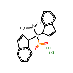 C[SiH](C)[Ti]([CH]1C=Cc2ccccc21)([CH]1C=Cc2ccccc21)[P](=O)=O.Cl.Cl